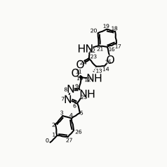 Cc1ccc(Cc2nnc(C(=O)N[C@H]3COc4ccccc4NC3=O)[nH]2)cc1